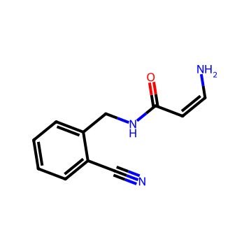 N#Cc1ccccc1CNC(=O)/C=C\N